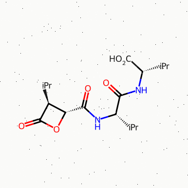 CC(C)[C@H](NC(=O)[C@@H](NC(=O)[C@@H]1OC(=O)[C@H]1C(C)C)C(C)C)C(=O)O